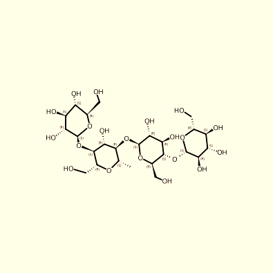 C[C@@H]1O[C@H](CO)[C@@H](O[C@@H]2O[C@H](CO)[C@@H](O)[C@H](O)[C@H]2O)[C@H](O)[C@H]1O[C@@H]1O[C@H](CO)[C@@H](O[C@@H]2O[C@H](CO)[C@@H](O)[C@H](O)[C@H]2O)[C@H](O)[C@H]1O